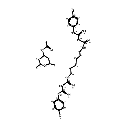 CC(=O)OC1CC(C)OC(C)O1.N=C(NCCCCCCNC(=N)NC(=N)Nc1ccc(Cl)cc1)NC(=N)Nc1ccc(Cl)cc1